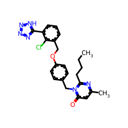 CCCCc1nc(C)cc(=O)n1Cc1ccc(OCc2cccc(-c3nnn[nH]3)c2Cl)cc1